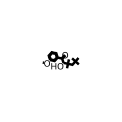 COc1cccc(C(=O)C(O)C(C)(C)CC(C)(C)C)c1